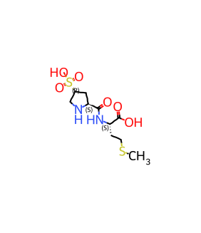 CSCC[C@H](NC(=O)[C@@H]1C[C@@H](S(=O)(=O)O)CN1)C(=O)O